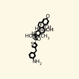 C[C@]12C=CC(=O)C=C1CC[C@H]1[C@@H]3C[C@H]4O[C@@H](c5cc(Cc6cccc(N)c6)cs5)O[C@@]4(C(=O)CO)[C@@]3(C)C[C@H](O)[C@@]12F